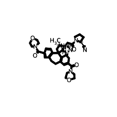 C[C@@H](CC1(c2nn[nH]n2)C2=C(C=C(C(=O)N3CCOCC3)CC2)CCc2cc(C(=O)N3CCOCC3)ccc21)NCC(=O)N1CCC[C@H]1C#N